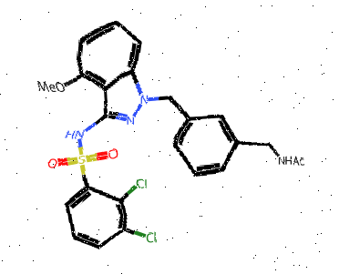 COc1cccc2c1c(NS(=O)(=O)c1cccc(Cl)c1Cl)nn2Cc1cccc(CNC(C)=O)c1